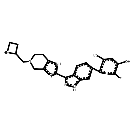 CCc1cc(O)c(F)cc1-c1ccc2c(-c3nc4c([nH]3)CCN(CC3CCN3)C4)n[nH]c2c1